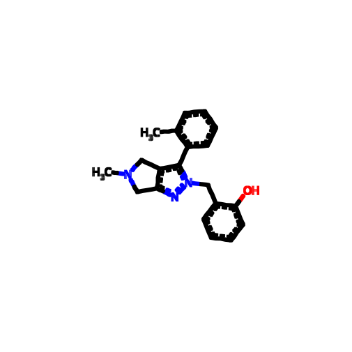 Cc1ccccc1-c1c2c(nn1Cc1ccccc1O)CN(C)C2